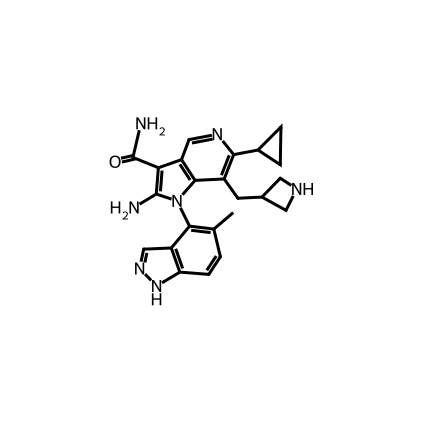 Cc1ccc2[nH]ncc2c1-n1c(N)c(C(N)=O)c2cnc(C3CC3)c(CC3CNC3)c21